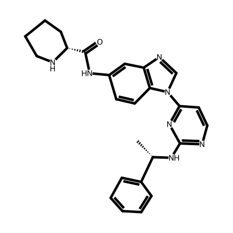 C[C@H](Nc1nccc(-n2cnc3cc(NC(=O)[C@H]4CCCCN4)ccc32)n1)c1ccccc1